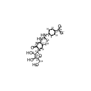 O=c1nc(NC(=S)Nc2ccc([N+](=O)[O-])cc2)c(I)cn1C1OC(CO)C(O)C1O